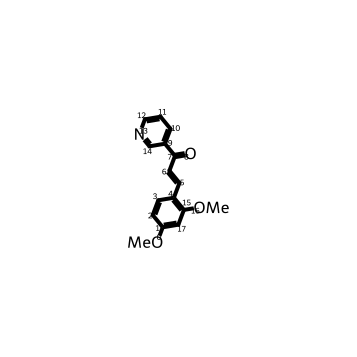 COc1ccc(/C=C/C(=O)c2cccnc2)c(OC)c1